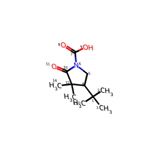 CC(C)(C)C1CN(C(=O)O)C(=O)C1(C)C